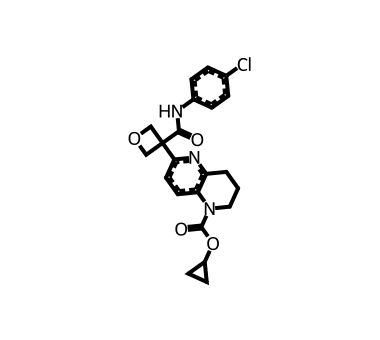 O=C(OC1CC1)N1CCCc2nc(C3(C(=O)Nc4ccc(Cl)cc4)COC3)ccc21